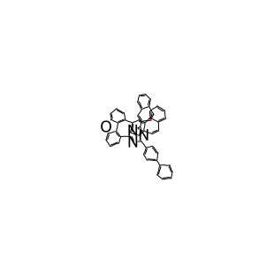 c1ccc(-c2ccc(-c3nc(-c4ccc5ccccc5c4)nc(-c4cccc5oc6cccc(-c7ccc8ccc9ccccc9c8c7)c6c45)n3)cc2)cc1